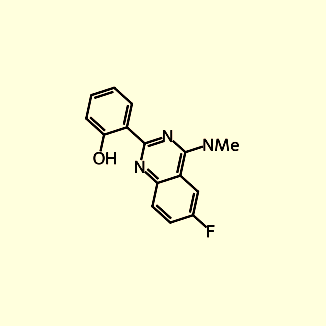 CNc1nc(-c2ccccc2O)nc2ccc(F)cc12